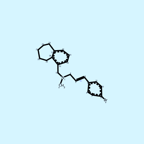 CN(C/C=C/c1ccc(Br)cc1)Cc1cccc2c1CCCCC2